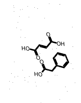 O=C(O)/C=C/C(=O)O.O=C(O)Cc1ccccc1